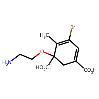 CC1=C(Br)C=C(C(=O)O)CC1(OCCN)C(=O)O